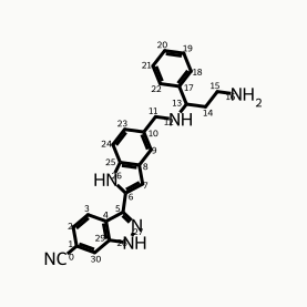 N#Cc1ccc2c(-c3cc4cc(CNC(CCN)c5ccccc5)ccc4[nH]3)n[nH]c2c1